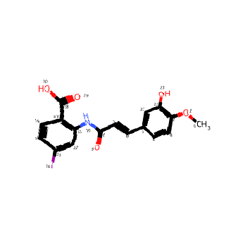 COc1ccc(/C=C/C(=O)Nc2cc(I)ccc2C(=O)O)cc1O